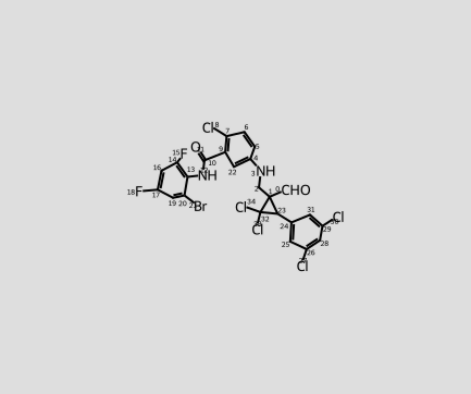 O=CC1(CNc2ccc(Cl)c(C(=O)Nc3c(F)cc(F)cc3Br)c2)C(c2cc(Cl)cc(Cl)c2)C1(Cl)Cl